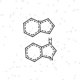 c1ccc2[nH]cnc2c1.c1ccn2cccc2c1